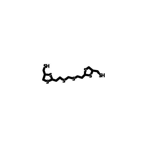 SCC1CSC(CCSCSCCC2SCC(CS)S2)S1